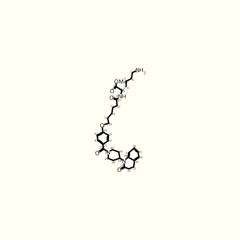 COC(=O)[C@H](CCCCN)NC(=O)CCCCCOc1ccc(C(=O)N2CCC(N3C(=O)CCc4ccccc43)CC2)cc1